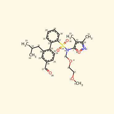 COCCOCN(c1onc(C)c1C)S(=O)(=O)c1ccccc1-c1ccc(C=O)cc1CC(C)C